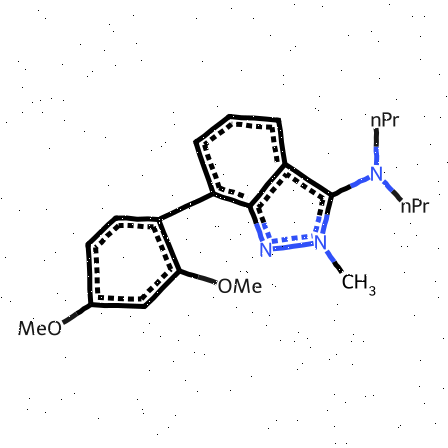 CCCN(CCC)c1c2cccc(-c3ccc(OC)cc3OC)c2nn1C